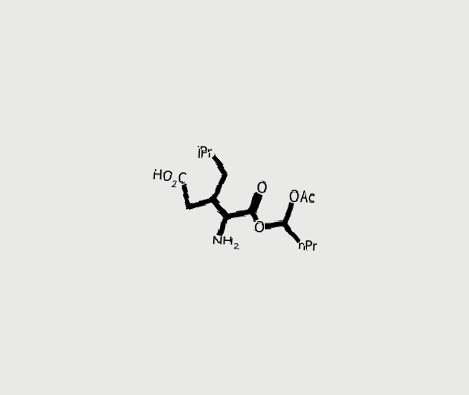 CCCC(OC(C)=O)OC(=O)C(N)C(CC(=O)O)CC(C)C